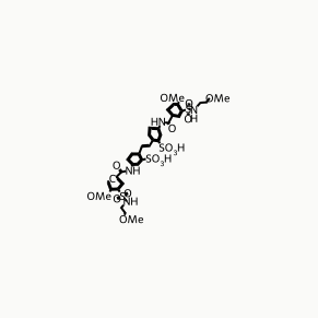 COCCNS(=O)(=O)c1cc(C(=O)Nc2ccc(/C=C/c3ccc(NC(=O)c4ccc(OC)c(S(=O)(=O)NCCOC)c4)cc3S(=O)(=O)O)c(S(=O)(=O)O)c2)ccc1OC